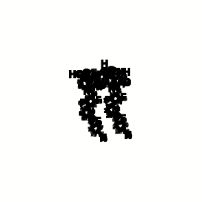 CNC(=O)[C@@H]1COC[C@@H]1n1c(Cc2cc(F)c(-c3cccc(OCc4ccc(C#N)cc4F)n3)cc2F)nc2ccc(C(=O)O)cc21.CNC(=O)[C@@H]1COC[C@@H]1n1c(Cc2cc(F)c(-c3cccc(OCc4ccc(C#N)cc4F)n3)cc2F)nc2ccc(C(=O)O)cc21